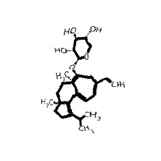 CC(C)C1=C2C3=CC=C(CO)C[C@H](O[C@@H]4OC[C@@H](O)[C@H](O)[C@H]4O)[C@]3(C)CC[C@@]2(C)CC1